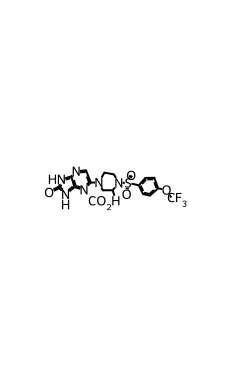 O=C(O)C1CN(c2cnc3[nH]c(=O)[nH]c3n2)CCN1S(=O)(=O)c1ccc(OC(F)(F)F)cc1